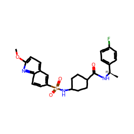 COc1ccc2cc(S(=O)(=O)NC3CCC(C(=O)N[C@H](C)c4ccc(F)cc4)CC3)ccc2n1